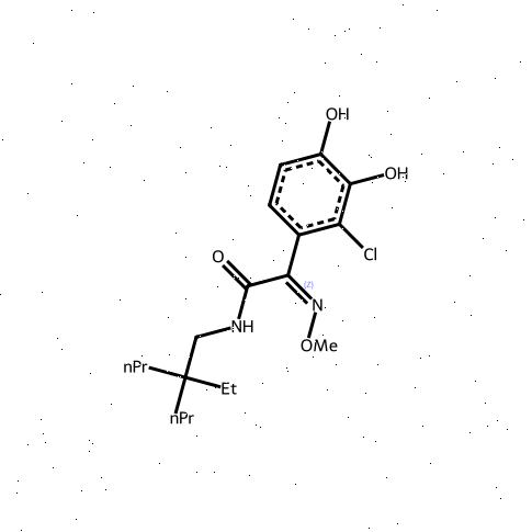 CCCC(CC)(CCC)CNC(=O)/C(=N\OC)c1ccc(O)c(O)c1Cl